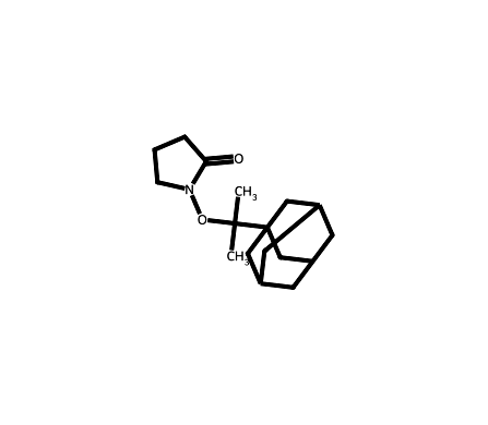 CC(C)(ON1CCCC1=O)C12CC3CC(CC(C3)C1)C2